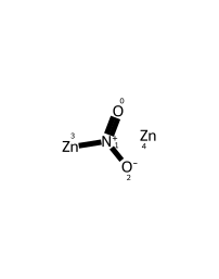 O=[N+]([O-])[Zn].[Zn]